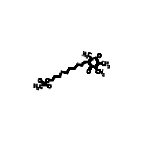 CC1=C(C)C(=O)C(CCCCCCCCCCOS(C)(=O)=O)=C(C)C1=O